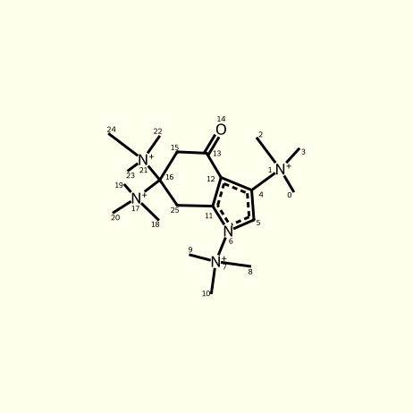 C[N+](C)(C)c1cn([N+](C)(C)C)c2c1C(=O)CC([N+](C)(C)C)([N+](C)(C)C)C2